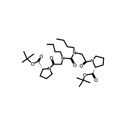 CCCCN(CC(=O)N1CCC[C@@H]1C(=O)OC(C)(C)C)C(=O)N(CCCC)CC(=O)N1CCC[C@@H]1C(=O)OC(C)(C)C